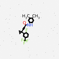 Cc1ccc(NC(=O)C#CC2(c3cc(C(F)(F)F)ccc3F)CC2)cc1C